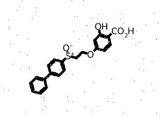 O=C(O)c1ccc(OCC[S+]([O-])c2ccc(-c3ccccc3)cc2)cc1O